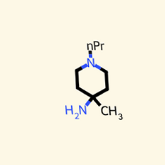 [CH2]CCN1CCC(C)(N)CC1